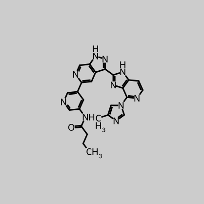 CCCC(=O)Nc1cncc(-c2cc3c(-c4nc5c(-n6cnc(C)c6)nccc5[nH]4)n[nH]c3cn2)c1